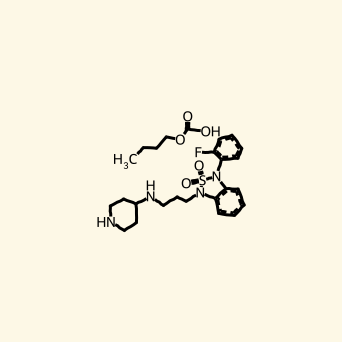 CCCCOC(=O)O.O=S1(=O)N(CCCNC2CCNCC2)c2ccccc2N1c1ccccc1F